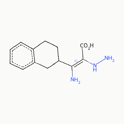 NN/C(C(=O)O)=C(\N)C1CCc2ccccc2C1